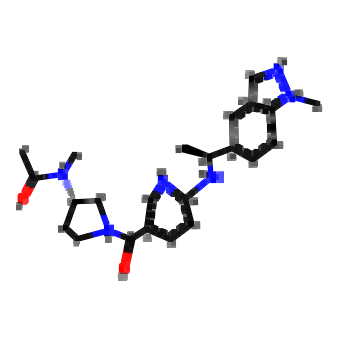 CC(=O)N(C)[C@H]1CCN(C(=O)c2ccc(N[C@@H](C)c3ccc4c(cnn4C)c3)nc2)C1